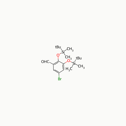 CC(C)(C)[Si](C)(C)Oc1cc(Br)cc(C=O)c1O[Si](C)(C)C(C)(C)C